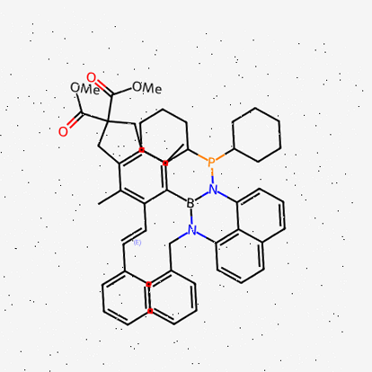 COC(=O)C1(C(=O)OC)Cc2c(C)c(/C=C/c3ccccc3)c(B3N(Cc4ccccc4)c4cccc5cccc(c45)N3P(C3CCCCC3)C3CCCCC3)c(C)c2C1